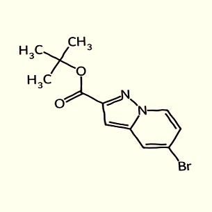 CC(C)(C)OC(=O)c1cc2cc(Br)ccn2n1